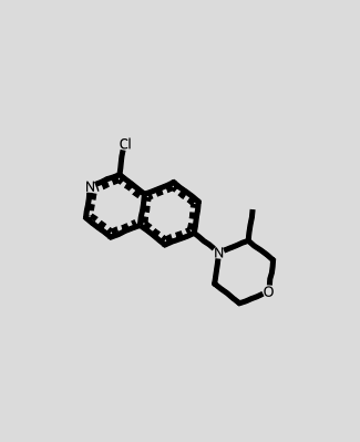 CC1COCCN1c1ccc2c(Cl)nccc2c1